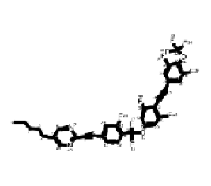 CCCCCc1cnc(C#Cc2ccc(C(F)(F)Oc3cc(F)c(C#Cc4cc(F)c(OC(F)(F)F)c(F)c4)c(F)c3)c(F)c2)nc1